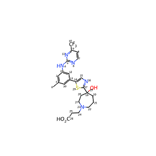 Cc1cc(Nc2nccc(C(F)(F)F)n2)cc(-c2cnc(C3(O)CCCN(CCC(=O)O)CC3)s2)c1